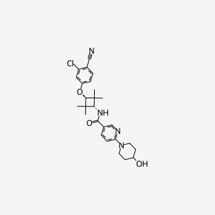 CC1(C)[C@H](NC(=O)c2ccc(N3CCC(O)CC3)nc2)C(C)(C)[C@H]1Oc1ccc(C#N)c(Cl)c1